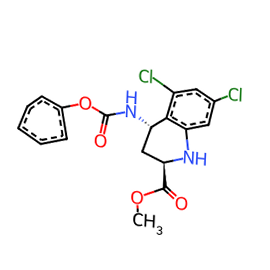 COC(=O)[C@H]1C[C@H](NC(=O)Oc2ccccc2)c2c(Cl)cc(Cl)cc2N1